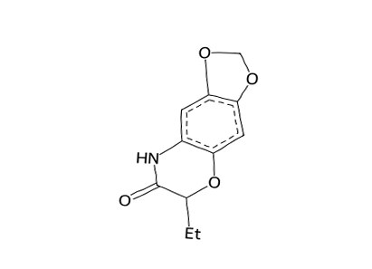 CCC1Oc2cc3c(cc2NC1=O)OCO3